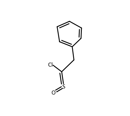 O=S=C(Cl)Cc1ccccc1